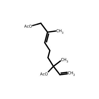 C=CC(C)(CCC=C(C)COC(C)=O)OC(C)=O